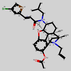 C=CCN1CC[C@@]23c4c5ccc(OC(C)=O)c4C[C@@H]1[C@@H]2CC[C@H](N(CC(C)C)C(=O)/C=C/c1cc(Br)cs1)[C@@H]3O5